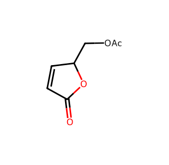 CC(=O)OCC1C=CC(=O)O1